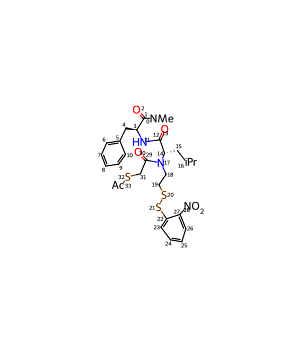 CNC(=O)[C@H](Cc1ccccc1)NC(=O)[C@H](CC(C)C)N(CCSSc1ccccc1[N+](=O)[O-])C(=O)CSC(C)=O